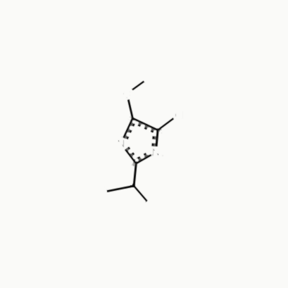 COc1[nH]c(C(C)C)nc1Cl